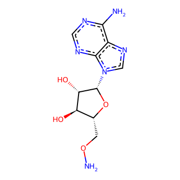 NOC[C@H]1O[C@@H](n2cnc3c(N)ncnc32)[C@@H](O)[C@@H]1O